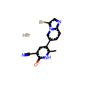 Br.Cc1[nH]c(=O)c(C#N)cc1-c1ccc2ncc(Br)n2c1